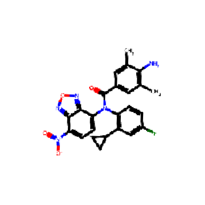 Cc1cc(C(=O)N(c2ccc(F)cc2C2CC2)c2ccc([N+](=O)[O-])c3nonc23)cc(C)c1N